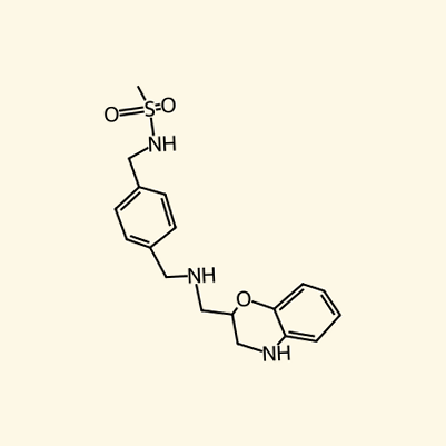 CS(=O)(=O)NCc1ccc(CNCC2CNc3ccccc3O2)cc1